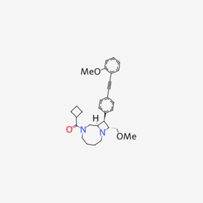 COC[C@H]1[C@H](c2ccc(C#Cc3ccccc3OC)cc2)[C@@H]2CN(C(=O)C3CCC3)CCCCN12